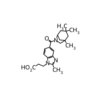 Cc1nc2cc(C(=O)N3CC4(C)CC3CC(C)(C)C4)ccc2n1CCC(=O)O